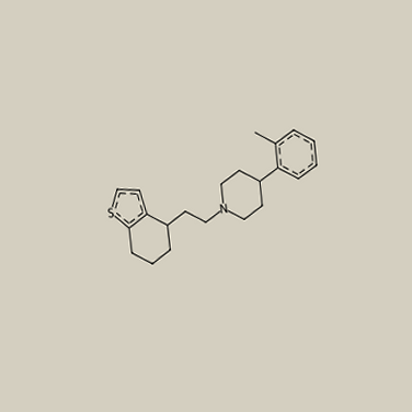 Cc1ccccc1C1CCN(CCC2CCCc3sccc32)CC1